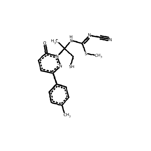 CSC(=NC#N)NC(C)(CS)n1nc(-c2ccc(C)cc2)ccc1=O